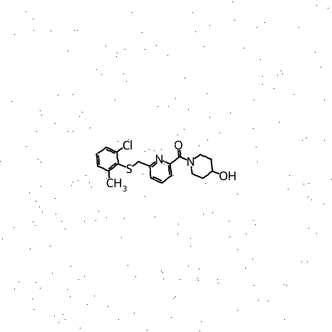 Cc1cccc(Cl)c1SCc1cccc(C(=O)N2CCC(O)CC2)n1